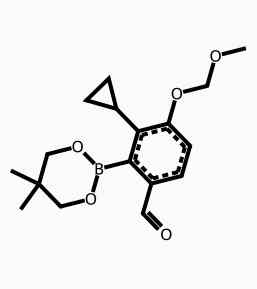 COCOc1ccc(C=O)c(B2OCC(C)(C)CO2)c1C1CC1